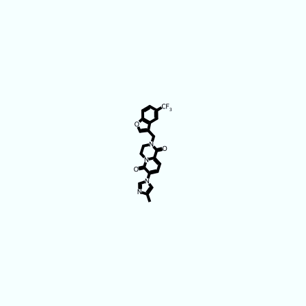 Cc1cn(-c2ccc3n(c2=O)CCN(Cc2coc4ccc(C(F)(F)F)cc24)C3=O)cn1